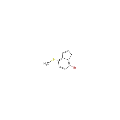 CSc1ccc(Br)c2c1C=CC2